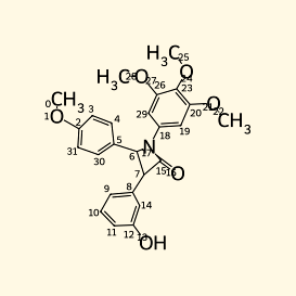 COc1ccc(C2C(c3cccc(O)c3)C(=O)N2c2cc(OC)c(OC)c(OC)c2)cc1